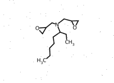 CCCCCC(CC)N(CC1CO1)CC1CO1